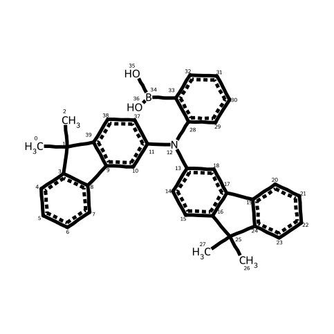 CC1(C)c2ccccc2-c2cc(N(c3ccc4c(c3)-c3ccccc3C4(C)C)c3ccccc3B(O)O)ccc21